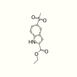 CCOC(=O)c1cc2cc(S(C)(=O)=O)ccc2[nH]1